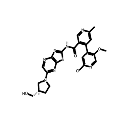 COc1cnc(Cl)cc1-c1cc(C)ncc1C(=O)Nc1nc2ncc(N3CC[C@H](CO)C3)nc2s1